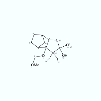 COCOC12C3CCC(C3)C1OC(O)(C(F)(F)F)C2(F)F